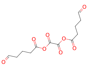 O=CCCCC(=O)OC(=O)C(=O)OC(=O)CCCC=O